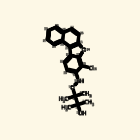 CC(C)(O)C(C)(C)OBc1ccc2c(oc3ccc4ccccc4c32)c1Cl